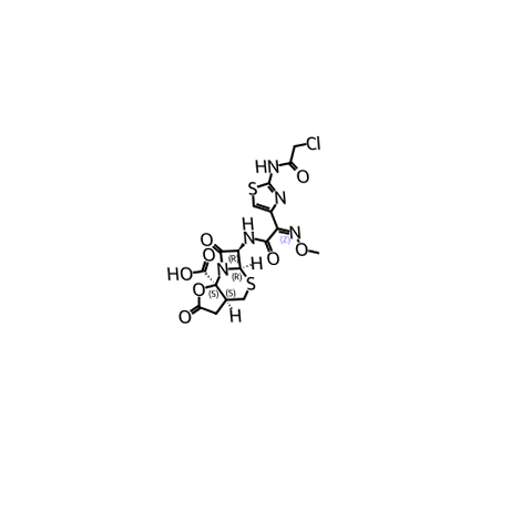 CO/N=C(\C(=O)N[C@@H]1C(=O)N2[C@@H]1SC[C@H]1CC(=O)O[C@]12C(=O)O)c1csc(NC(=O)CCl)n1